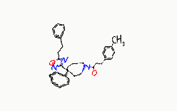 Cc1ccc(CCC(=O)N2CCC(c3ccccc3)(c3noc(CCc4ccccc4)n3)CC2)cc1